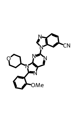 COc1ccccc1-c1nc2cnc(-n3cnc4ccc(C#N)cc43)nc2n1C1CCOCC1